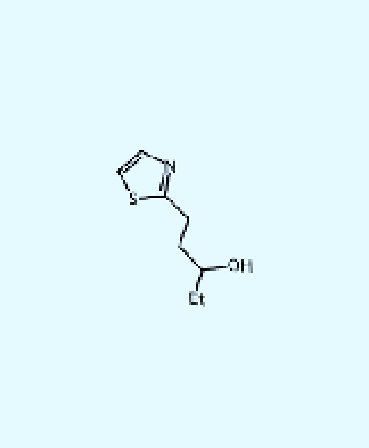 CCC(O)CCc1nccs1